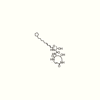 C[C@H]1/C=C/C(=O)NCC[C@H](O)C[C@H](NC(=O)[C@@H](NC(=O)/C=C/C=C/CCCCCC2CCCC2)[C@@H](C)O)C(=O)N1